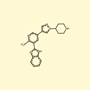 Nc1ncc(-c2cnn(C3CCNCC3)c2)cc1-c1nc2ccccc2[nH]1